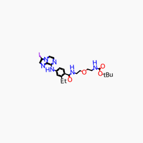 CCc1cc(Nc2nccn3c(I)cnc23)ccc1C(=O)NCCOCCNC(=O)OC(C)(C)C